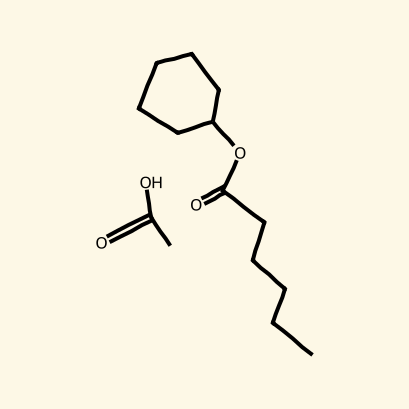 CC(=O)O.CCCCCC(=O)OC1CCCCC1